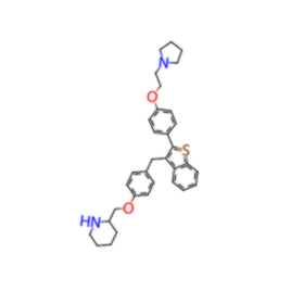 c1ccc2c(Cc3ccc(OCC4CCCCN4)cc3)c(-c3ccc(OCCN4CCCC4)cc3)sc2c1